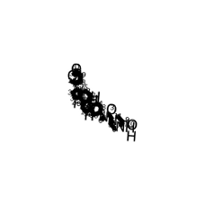 CN(C(=O)N1CCN[C@@H](CO)C1)[C@H]1CC[C@@]2(C)[C@H](CC[C@@H]3[C@@H]2CC[C@]2(C)[C@@H](c4ccc(=O)oc4)CC[C@]32O)C1